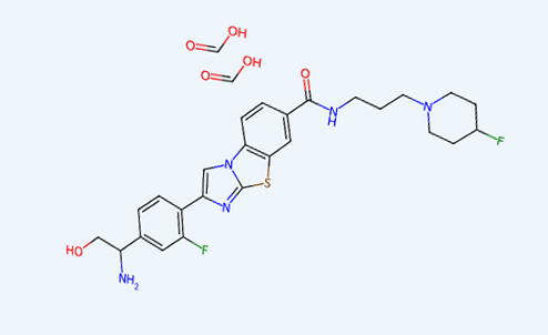 NC(CO)c1ccc(-c2cn3c(n2)sc2cc(C(=O)NCCCN4CCC(F)CC4)ccc23)c(F)c1.O=CO.O=CO